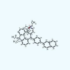 C/C=C1\Cc2ccc3c(c2S1)-c1c(N(c2ccccc2)c2ccc(-c4ccc5ccccc5c4)cc2)cccc1[Si]3(C)C